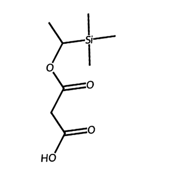 CC(OC(=O)CC(=O)O)[Si](C)(C)C